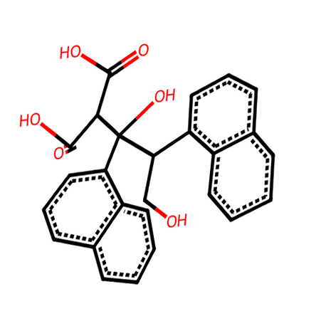 O=C(O)C(C(=O)O)C(O)(c1cccc2ccccc12)C(CO)c1cccc2ccccc12